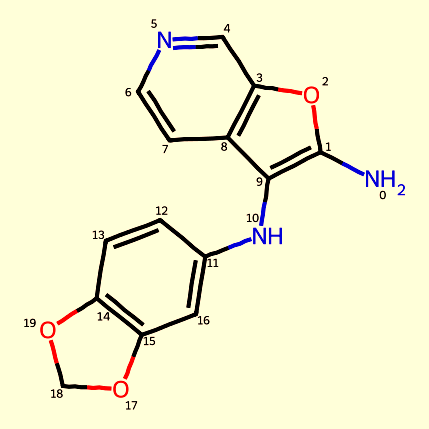 Nc1oc2cnccc2c1Nc1ccc2c(c1)OCO2